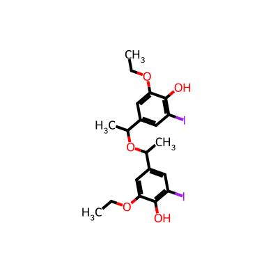 CCOc1cc(C(C)OC(C)c2cc(I)c(O)c(OCC)c2)cc(I)c1O